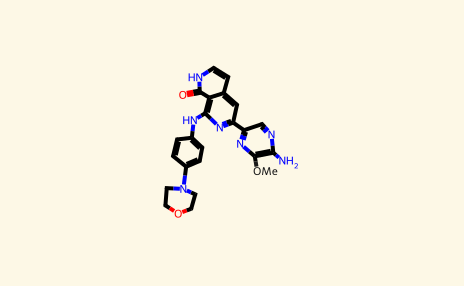 COc1nc(-c2cc3cc[nH]c(=O)c3c(Nc3ccc(N4CCOCC4)cc3)n2)cnc1N